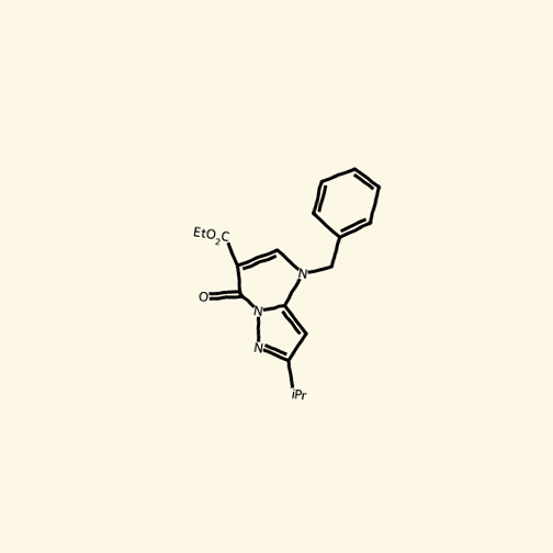 CCOC(=O)c1cn(Cc2ccccc2)c2cc(C(C)C)nn2c1=O